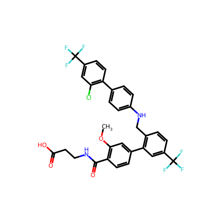 COc1cc(-c2cc(C(F)(F)F)ccc2CNc2ccc(-c3ccc(C(F)(F)F)cc3Cl)cc2)ccc1C(=O)NCCC(=O)O